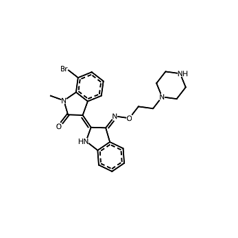 CN1C(=O)/C(=C2\Nc3ccccc3\C2=N/OCCN2CCNCC2)c2cccc(Br)c21